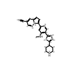 CNc1cc(-c2ccc3cc(C#N)cnn23)ncc1-c1nnc(C2CCNCC2)s1